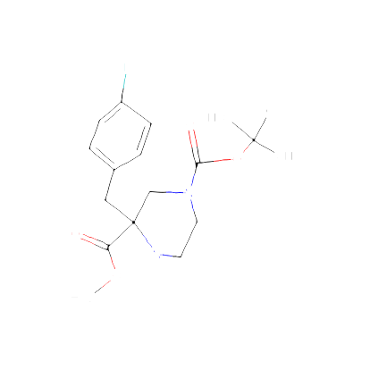 COC(=O)C1(Cc2ccc(F)cc2)CN(C(=O)OC(C)(C)C)CCN1